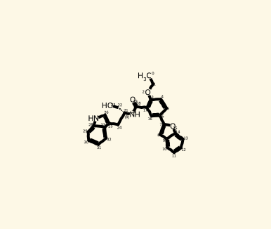 CCOc1ccc(-c2cc3ccccc3o2)cc1C(=O)N[C@@H](CO)Cc1c[nH]c2ccccc12